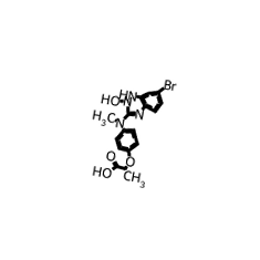 CC(Oc1ccc(N(C)C2=Nc3ccc(Br)cc3NN2O)cc1)C(=O)O